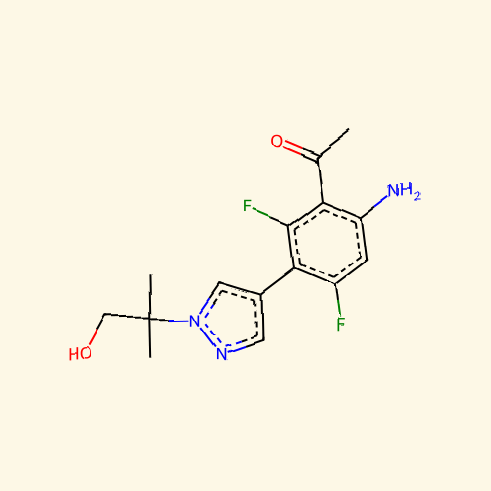 CC(=O)c1c(N)cc(F)c(-c2cnn(C(C)(C)CO)c2)c1F